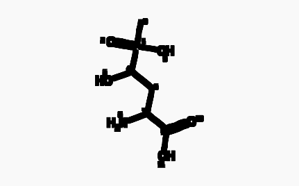 CP(=O)(O)C(O)CC(N)C(=O)O